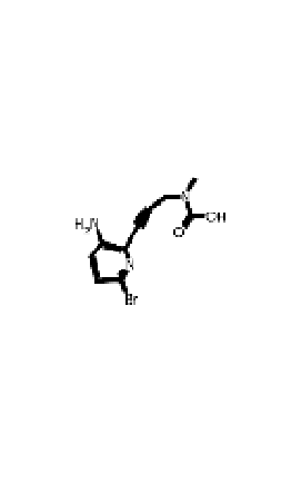 CN(CC#Cc1nc(Br)ccc1N)C(=O)O